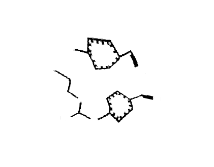 C=Cc1ccc(O)cc1.C=Cc1ccc(OC(C)OCCCl)cc1